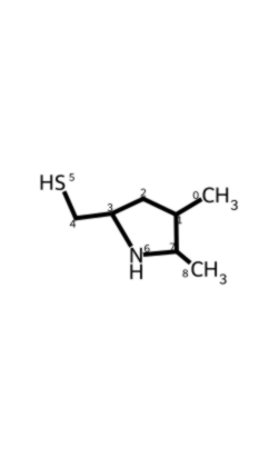 CC1CC(CS)NC1C